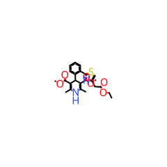 CCOC(=O)Cc1csc(-c2ccccc2C2C(C(=O)OC)=C(C)NC(C)=C2C(=O)OC)n1